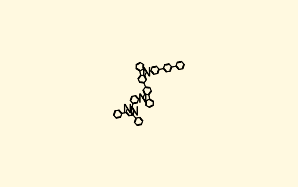 c1ccc(-c2ccc(-c3ccc(-n4c5ccccc5c5ccc(-c6ccc7c8ccccc8n(-c8cccc(-c9nc(-c%10ccccc%10)cc(-c%10ccccc%10)n9)c8)c7c6)cc54)cc3)cc2)cc1